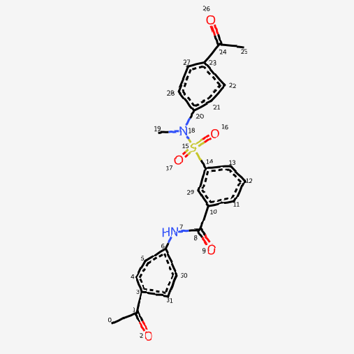 CC(=O)c1ccc(NC(=O)c2cccc(S(=O)(=O)N(C)c3ccc(C(C)=O)cc3)c2)cc1